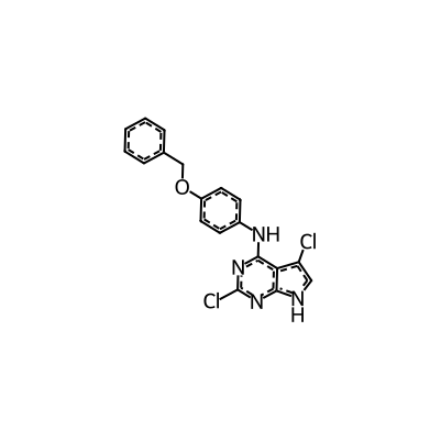 Clc1nc(Nc2ccc(OCc3ccccc3)cc2)c2c(Cl)c[nH]c2n1